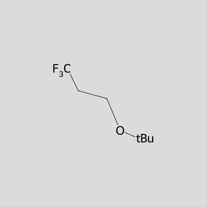 CC(C)(C)OCCC(F)(F)F